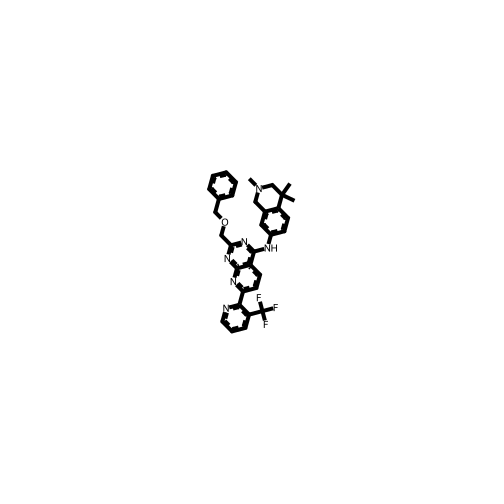 CN1Cc2cc(Nc3nc(COCc4ccccc4)nc4nc(-c5ncccc5C(F)(F)F)ccc34)ccc2C(C)(C)C1